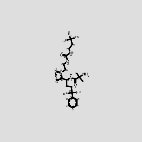 CC(C)(N)C(=O)NC(CCC(F)(F)c1ccccc1)c1cnnn1CCOC(=O)NCCC(F)(F)F